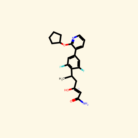 CC(C/C(O)=C/C(N)=O)c1c(F)cc(-c2cccnc2OC2CCCC2)cc1F